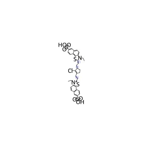 CCN1/C(=C/C=C2\CCC(/C=C/c3sc4c5ccc(S(=O)(=O)O)cc5ccc4[n+]3CC)=C2Cl)Sc2c1ccc1cc(S(=O)(=O)O)ccc21